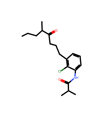 CCCC(C)C(=O)CCCc1cccc(NC(=O)C(C)C)c1Cl